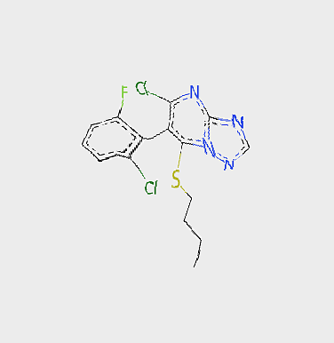 CCCCSc1c(-c2c(F)cccc2Cl)c(Cl)nc2ncnn12